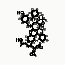 CB(O)n1nc(N(B2CO2)B2CO2)c2cc(CN3C(=O)N(Cc4ccc(O)cc4)[C@H](Cc4ccccc4)[C@@H]4OC(C)(C)O[C@H]4[C@H]3Cc3ccccc3)ccc21